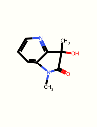 CN1C(=O)C(C)(O)c2ncccc21